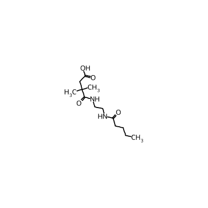 CCCCC(=O)NCCNC(=O)C(C)(C)CC(=O)O